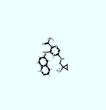 NC(=O)c1ncc(NCC2(N)CC2)nc1Nc1ccc2ncccc2c1